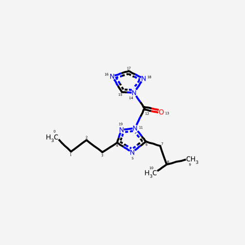 CCCCc1nc(CC(C)C)n(C(=O)n2cncn2)n1